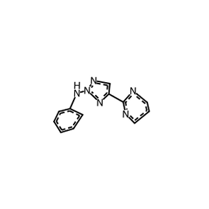 c1ccc(Nn2ncc(-c3ncccn3)n2)cc1